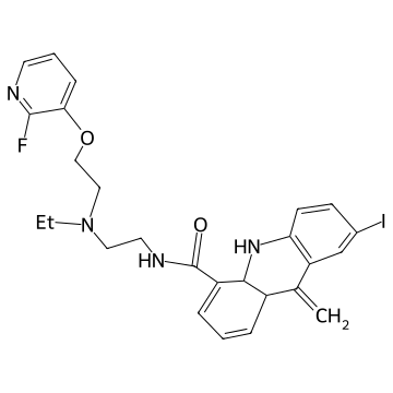 C=C1c2cc(I)ccc2NC2C(C(=O)NCCN(CC)CCOc3cccnc3F)=CC=CC12